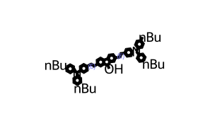 CCCCc1ccc(N(c2ccc(/C=C/c3ccc4c(c3)C(O)c3cc(/C=C/c5ccc(N(c6ccc(CCCC)cc6)c6ccc(CCCC)cc6)cc5)ccc3-4)cc2)c2ccc(CCCC)cc2)cc1